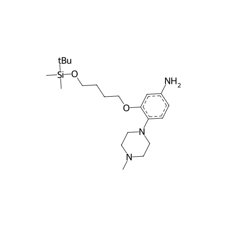 CN1CCN(c2ccc(N)cc2OCCCCO[Si](C)(C)C(C)(C)C)CC1